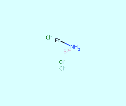 CCN.[B+3].[Cl-].[Cl-].[Cl-]